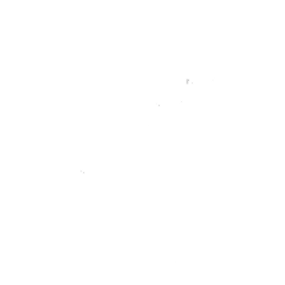 CC(C)C=NOC(c1ccc(Cl)cc1)c1ccc(NC(=O)NC(=O)c2c(F)cccc2F)cc1